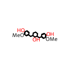 COc1cc(CC2CCCC(Cc3ccc(O)c(OC)c3)C2O)ccc1O